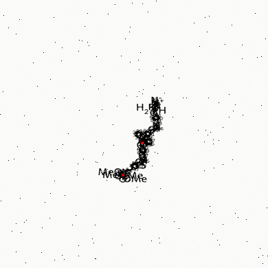 COP(=O)(CN(CCc1ccc(O[PH](=S)N(C)N=Cc2ccc(O[PH](=S)N=P(c3ccccc3)(c3ccccc3)c3ccc(OCN(C)N=Cc4ccc(OPP(P)N=[N+]=[N-])cc4)cc3)cc2)cc1)CP(=O)(OC)OC)OC